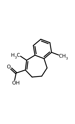 CC1=C(C(=O)O)CCCc2c(C)cccc21